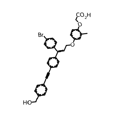 Cc1cc(OC/C=C(\c2ccc(Br)cc2)c2ccc(C#Cc3ccc(CO)cc3)cc2)ccc1OCC(=O)O